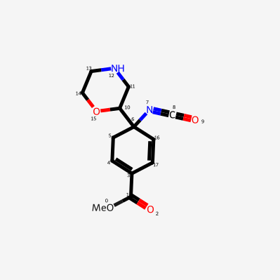 COC(=O)C1=CCC(N=C=O)(C2CNCCO2)C=C1